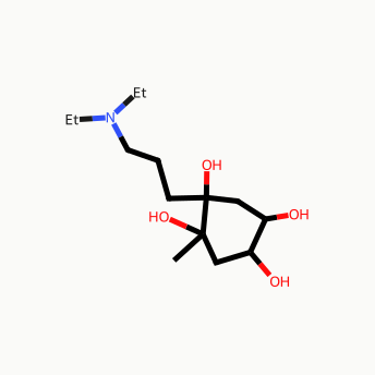 CCN(CC)CCCC1(O)CC(O)C(O)CC1(C)O